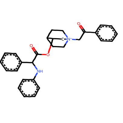 O=C(C[N+]12CCC(CC1)C(OC(=O)C(Nc1ccccc1)c1ccccc1)C2)c1ccccc1